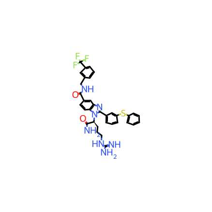 N=C(N)NCCC[C@@H](C(N)=O)n1c(-c2cccc(Sc3ccccc3)c2)nc2cc(C(=O)NCc3cccc(C(F)(F)F)c3)ccc21